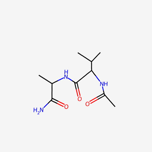 CC(=O)NC(C(=O)NC(C)C(N)=O)C(C)C